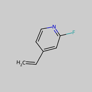 C=Cc1ccnc(F)c1